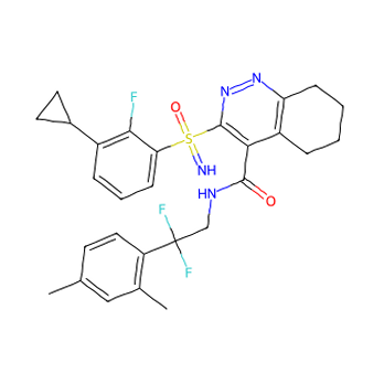 Cc1ccc(C(F)(F)CNC(=O)c2c(S(=N)(=O)c3cccc(C4CC4)c3F)nnc3c2CCCC3)c(C)c1